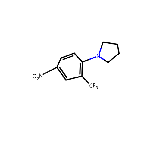 O=[N+]([O-])c1ccc(N2CCCC2)c(C(F)(F)F)c1